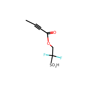 CC#CC(=O)OCC(F)(F)S(=O)(=O)O